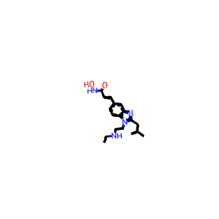 CCNCCn1c(CC(C)C)nc2cc(/C=C/C(=O)NO)ccc21